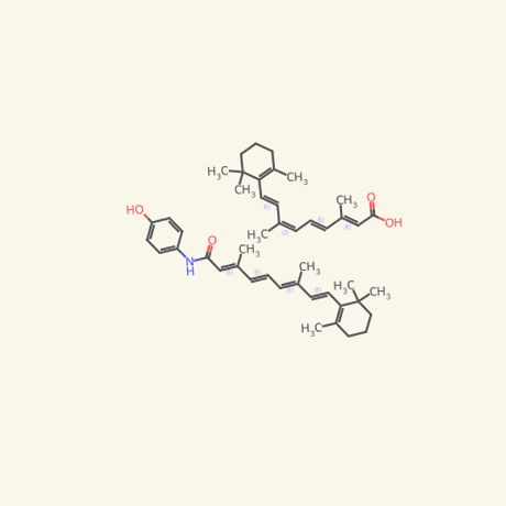 CC1=C(/C=C/C(C)=C/C=C/C(C)=C/C(=O)Nc2ccc(O)cc2)C(C)(C)CCC1.CC1=C(/C=C/C(C)=C\C=C\C(C)=C\C(=O)O)C(C)(C)CCC1